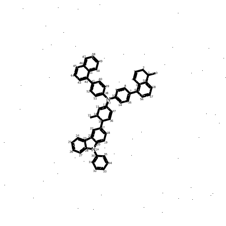 CC1CC=Cc2c(-c3ccc(N(C4=CC(C)C(c5ccc6c(c5)c5ccccc5n6-c5ccccc5)C=C4)c4ccc(-c5cccc6ccccc56)cc4)cc3)cccc21